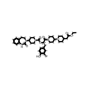 CCOC(=O)CC1CCN(C2CCN(C(=O)[C@@H](Cc3ccc(O)c(Br)c3)OC(=O)N3CCC(N4CCc5ccccc5NC4=O)CC3)CC2)CC1